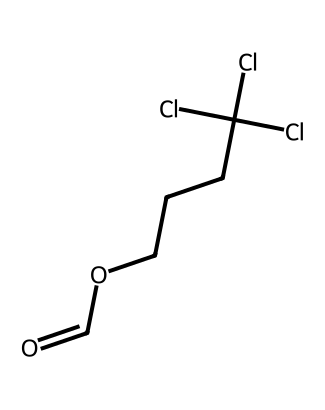 O=COCCCC(Cl)(Cl)Cl